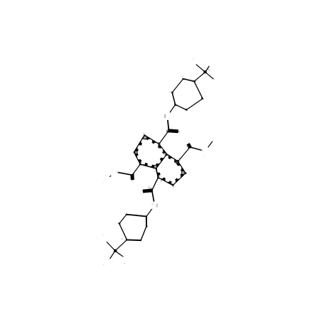 COC(=O)c1ccc(C(=O)NC2CCC(C(F)(F)F)CC2)c2c(C(=O)OC)ccc(C(=O)NC3CCC(C(F)(F)F)CC3)c12